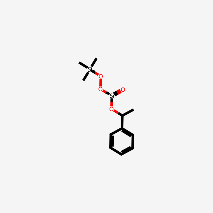 CC(O[Si](=O)OO[Si](C)(C)C)c1ccccc1